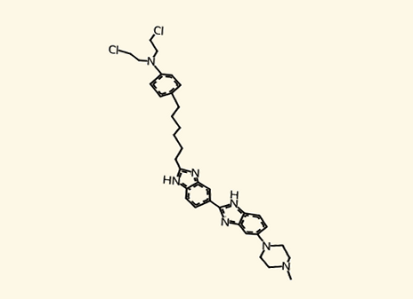 CN1CCN(c2ccc3[nH]c(-c4ccc5[nH]c(CCCCCCc6ccc(N(CCCl)CCCl)cc6)nc5c4)nc3c2)CC1